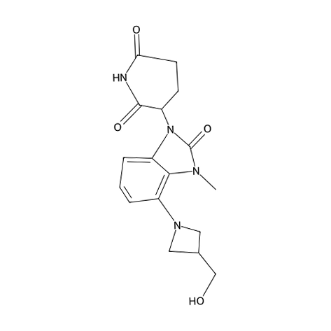 Cn1c(=O)n(C2CCC(=O)NC2=O)c2cccc(N3CC(CO)C3)c21